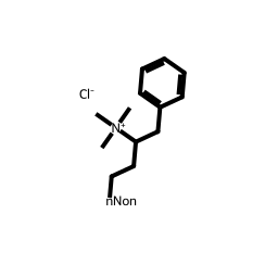 CCCCCCCCCCCC(Cc1ccccc1)[N+](C)(C)C.[Cl-]